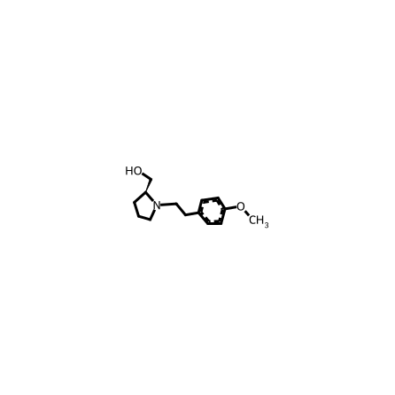 COc1ccc(CCN2CCC[C@H]2CO)cc1